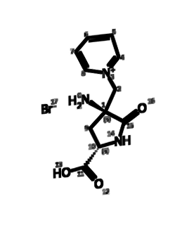 N[C@]1(C[n+]2ccccc2)C[C@@H](C(=O)O)NC1=O.[Br-]